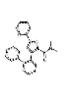 CN(C)C(=O)c1sc(-c2ccccn2)cc1-c1ccccc1-c1ccccc1